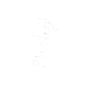 COc1cncc(NC(=O)OC[C@H]2COc3c(cc(C)c4nc(-c5cc(C)cc6nc(OC)cnc56)sc34)O2)c1